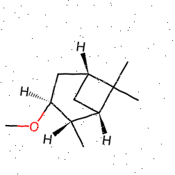 CO[C@H]1C[C@H]2C[C@@H]([C@@H]1C)C2(C)C